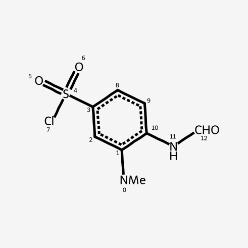 CNc1cc(S(=O)(=O)Cl)ccc1NC=O